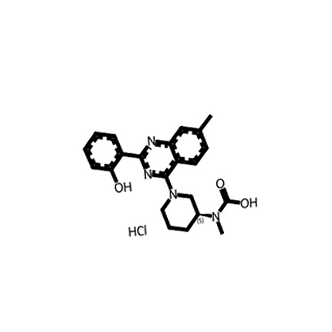 Cc1ccc2c(N3CCC[C@H](N(C)C(=O)O)C3)nc(-c3ccccc3O)nc2c1.Cl